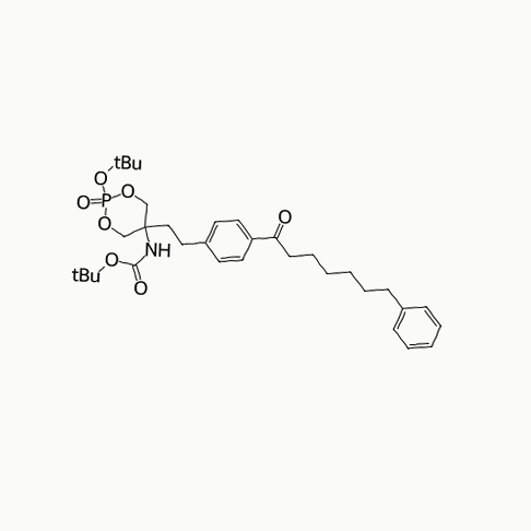 CC(C)(C)OC(=O)NC1(CCc2ccc(C(=O)CCCCCCc3ccccc3)cc2)COP(=O)(OC(C)(C)C)OC1